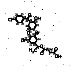 CC(OC(=O)NCC(=O)O)c1cc(Br)c(Oc2ccc(O)c(C(=O)c3ccc(Cl)cc3)c2)c(Br)c1